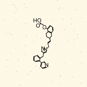 O=C(O)COc1cccc2c1CCC(C=CCn1cc(Cc3ccccc3-c3cccnc3)cn1)C2